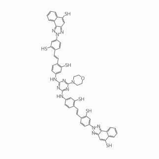 Sc1cc(Nc2nc(Nc3ccc(C=Cc4ccc(-n5nc6cc(S)c7ccccc7c6n5)cc4S)c(S)c3)nc(N3CCOCC3)n2)ccc1C=Cc1ccc(-n2nc3cc(S)c4ccccc4c3n2)cc1S